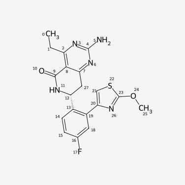 CCc1nc(N)nc2c1C(=O)N[C@@H](c1ccc(F)cc1-c1csc(OC)n1)C2